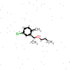 CCCO[C@H](C)c1cc(Br)ccc1C